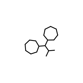 CC(C)C(C1CCCCCC1)C1CCCCCC1